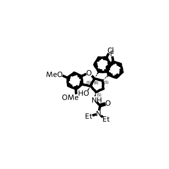 CCN(CC)C(=O)N[C@H]1C[C@@H](c2cccc(F)c2)[C@]2(c3ccc(Cl)cc3)Oc3cc(OC)cc(OC)c3[C@]12O